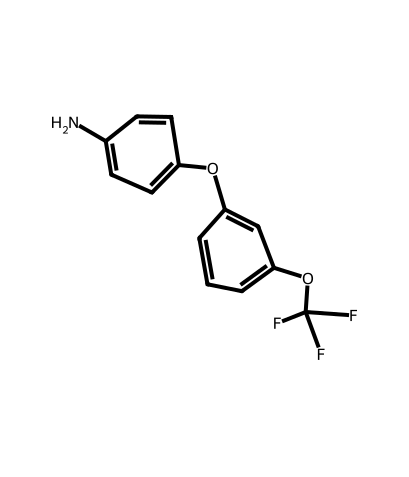 Nc1ccc(Oc2cccc(OC(F)(F)F)c2)cc1